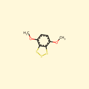 COc1ccc(OC)c2c1SSS2